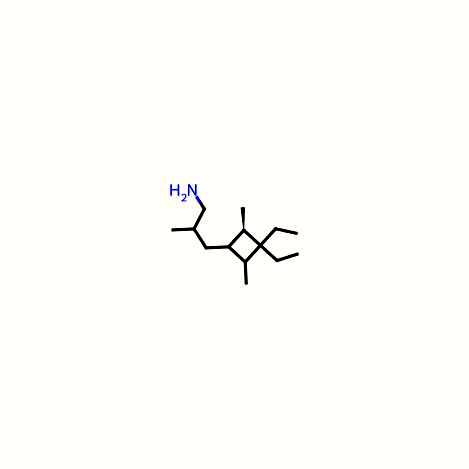 CCC1(CC)C(C)C(CC(C)CN)[C@H]1C